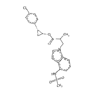 CC(Cn1ccc2c(NS(C)(=O)=O)cccc21)C(=O)OC1CC1c1ccc(Cl)cc1